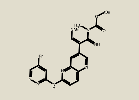 CN/C=C(\C(=N)N(C)C(=O)OC(C)(C)C)c1cnc2ccc(Nc3cc(C(C)C)cnn3)nc2c1